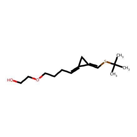 CC(C)(C)S/C=C1\C\C1=C/CCCOCCO